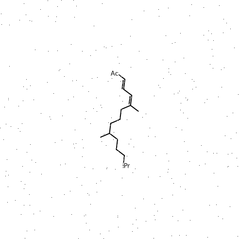 CC(=O)C=CC=C(C)CCCC(C)CCCC(C)C